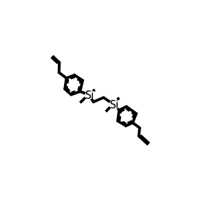 C=CCc1ccc([Si](C)(C)CC[Si](C)(C)c2ccc(CC=C)cc2)cc1